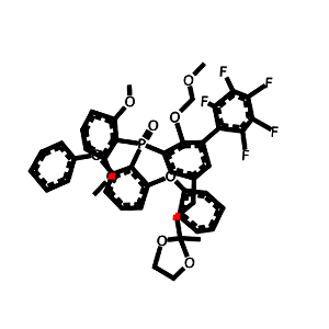 COCOc1c(-c2c(F)c(F)c(F)c(F)c2F)cc(CCC2(C)OCCO2)cc1P(=O)(c1c(OC)cccc1OC)c1c(Oc2ccccc2)cccc1Oc1ccccc1